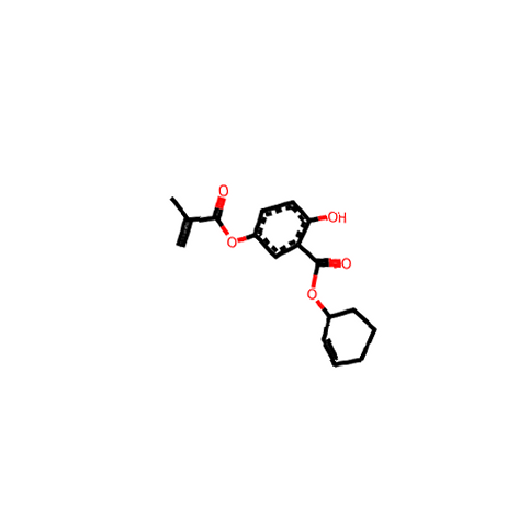 C=C(C)C(=O)Oc1ccc(O)c(C(=O)OC2C=CCCC2)c1